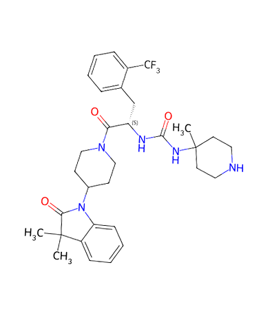 CC1(NC(=O)N[C@@H](Cc2ccccc2C(F)(F)F)C(=O)N2CCC(N3C(=O)C(C)(C)c4ccccc43)CC2)CCNCC1